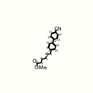 COC(=O)CCCSCc1ccc(-c2ccc(C#N)cc2)cc1